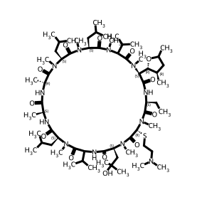 CC[C@@H]1NC(=O)[C@H]([C@@H]2OC(C)C[C@H]2C)N(C)C(=O)C(C(C)C)N(C)C(=O)[C@H](CC(C)C)N(C)C(=O)[C@H](CC(C)C)N(C)C(=O)[C@@H](C)NC(=O)[C@H](C)NC(=O)[C@H](CC(C)C)N(C)C(=O)C(C(C)C)NC(=O)[C@H](CC(C)(C)O)N(C)C(=O)[C@@H](SCCN(C)C)N(C)C1=O